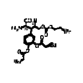 CCC(C)CC(=O)Oc1ccc(C(C(C)COC(=O)OCCC(C)C)[C@H](N)C(=O)O)cc1OC(=O)CC(C)CC